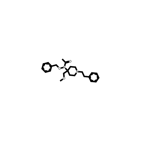 COCC1(N(OCc2ccccc2)C(C)=O)CCN(CCc2ccccc2)CC1